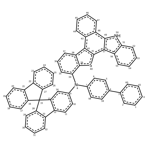 c1ccc(-c2ccc(N(c3ccc4c(c3)C3(c5ccccc5-c5ccccc53)c3ccccc3-4)c3cccc4c3sc3c4c4ccccc4c4[nH]c5ccccc5c43)cc2)cc1